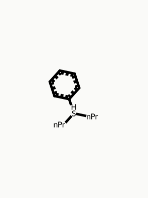 CCC[SH](CCC)c1ccccc1